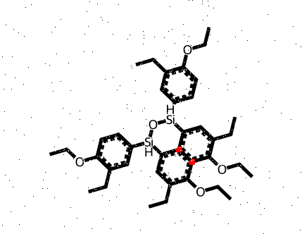 CCOc1ccc([SiH](O[SiH](c2ccc(OCC)c(CC)c2)c2ccc(OCC)c(CC)c2)c2ccc(OCC)c(CC)c2)cc1CC